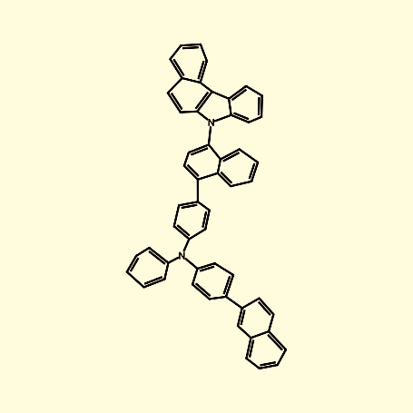 c1ccc(N(c2ccc(-c3ccc4ccccc4c3)cc2)c2ccc(-c3ccc(-n4c5ccccc5c5c6ccccc6ccc54)c4ccccc34)cc2)cc1